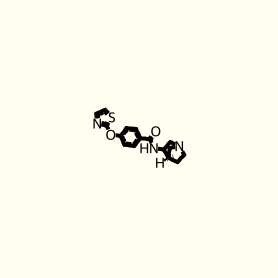 O=C(NC1CN2CC[C@H]1C2)c1ccc(Oc2nccs2)cc1